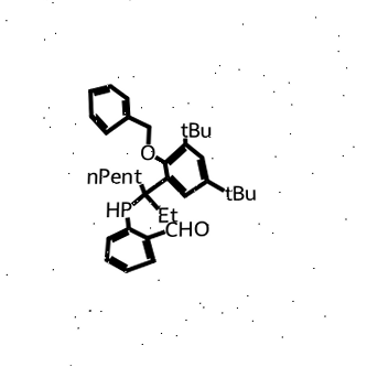 CCCCCC(CC)(Pc1ccccc1C=O)c1cc(C(C)(C)C)cc(C(C)(C)C)c1OCc1ccccc1